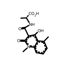 Cc1cccc2c1c(O)c(C(=O)N[C@@H](C)C(=O)O)c(=O)n2C